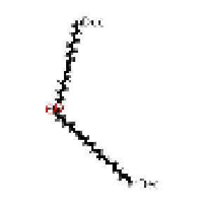 CCCCCCCCCCCCCCCCCCCCCCCCCCCCCCCC(=O)OCCCCCCCCCCCCCCCCCCCCCCCCCCC